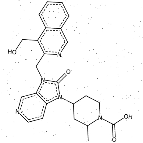 CC1CC(n2c(=O)n(Cc3ncc4ccccc4c3CO)c3cnccc32)CCN1C(=O)O